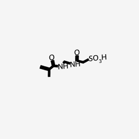 C=C(C)C(=O)NCNC(=O)CS(=O)(=O)O